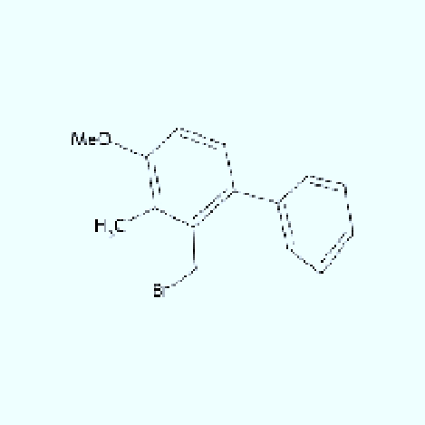 COc1ccc(-c2ccccc2)c(CBr)c1C